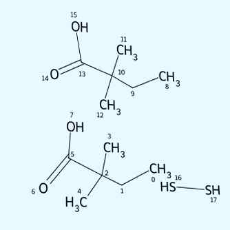 CCC(C)(C)C(=O)O.CCC(C)(C)C(=O)O.SS